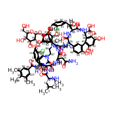 CN[C@H](CC(C)C)C(=O)N[C@H]1C(=O)N[C@@H](CC(N)=O)C(=O)NC2C(=O)N[C@H]3C(=O)N[C@H](C(=O)N[C@@H](C(=O)O)c4cc(O)cc(O)c4-c4cc3ccc4O)[C@H](O)c3ccc(c(Cl)c3)Oc3cc2cc(c3OC2O[C@H](CO)[C@@H](O)[C@H](O)[C@H]2O[C@H]2C[C@](C)(NCCn3ccc(NC(=O)c4cc(C)c(C)c(C)c4)nc3=O)[C@H](O)[C@H](C)O2)Oc2ccc(cc2Cl)[C@H]1O